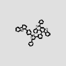 c1ccc(-c2cc(-c3cccc(-c4c5c(cc6c(-c7ccccc7)nc7ccccc7c46)oc4ccccc45)c3)nc(-c3ccc(-c4cccc5c4oc4ccccc45)cc3)n2)cc1